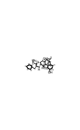 CO[C@@]12CC[C@@H](N[C@@H](Cc3ccccc3)C(=O)OC(C)(C)C)[C@@H]3Oc4c(O)ccc5c4[C@@]31CCN(C)C2C5